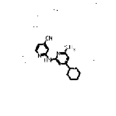 Cc1cc(C2CCCCC2)cc(Nc2cc(C#N)ccn2)n1